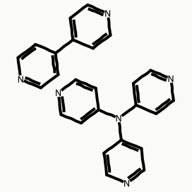 c1cc(-c2ccncc2)ccn1.c1cc(N(c2ccncc2)c2ccncc2)ccn1